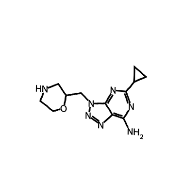 Nc1nc(C2CC2)nc2c1nnn2CC1CNCCO1